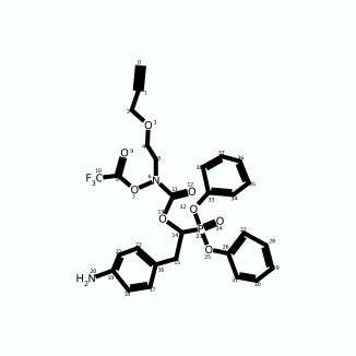 C#CCOCCN(OC(=O)C(F)(F)F)C(=O)OC(Cc1ccc(N)cc1)P(=O)(Oc1ccccc1)Oc1ccccc1